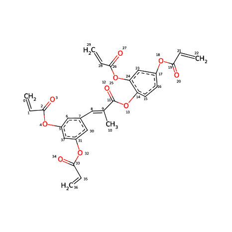 C=CC(=O)Oc1cc(/C=C(\C)C(=O)Oc2ccc(OC(=O)C=C)cc2OC(=O)C=C)cc(OC(=O)C=C)c1